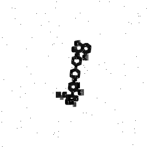 CN(C)C(=O)c1ccc(N2CCC(C3CCN(C(=O)c4c(Cl)cccc4Cl)CC3)CC2)nc1Cl